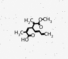 C=CC=CC(C=C(C)C(=O)O)C(=C)C(=O)OC